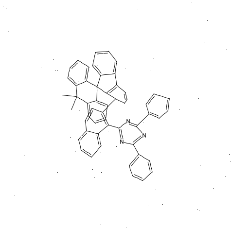 CC1(C)c2ccccc2C2(C3=C(C=CCC3c3ccc4ccccc4c3-c3nc(-c4ccccc4)nc(-c4ccccc4)n3)c3ccccc32)c2ccccc21